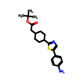 CC(C)(C)OC(=O)CC1CCC(c2ncc(-c3ccc(N)cc3)s2)CC1